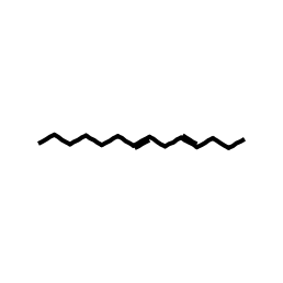 CCC/C=C/C/C=C/CCCCCC